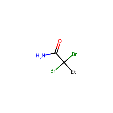 CCC(Br)(Br)C(N)=O